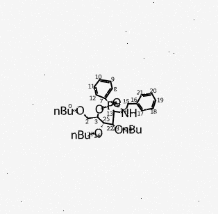 CCCCOC[C@H]1O[P@@](=O)(c2ccccc2)C(NCc2ccccc2)[C@@H](OCCCC)[C@@H]1OCCCC